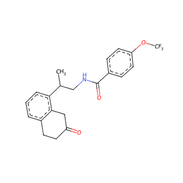 CC(CNC(=O)c1ccc(OC(F)(F)F)cc1)c1cccc2c1CC(=O)CC2